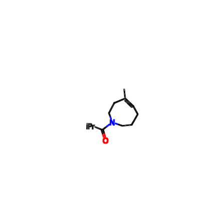 C/C1=C/CCCN(C(=O)C(C)C)CC1